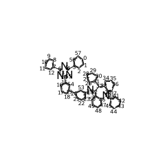 c1ccc(-c2nc(-c3ccccc3)nc(-c3cccc(-c4cccc(N5c6ccccc6C6c7ccccc7N(c7ccccc7)c7ccccc7C65)c4)c3)n2)cc1